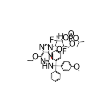 CCOc1nc(NC(c2ccccc2)(c2ccccc2)c2ccc(OC)cc2)nc2c1ncn2[C@H]1O[C@]2(F)COP(=O)(OC(C)C)O[C@H]2[C@@]1(C)F